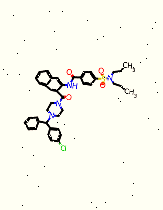 CCCN(CCC)S(=O)(=O)c1ccc(C(=O)Nc2cc3ccccc3cc2C(=O)N2CCN(C(c3ccccc3)c3ccc(Cl)cc3)CC2)cc1